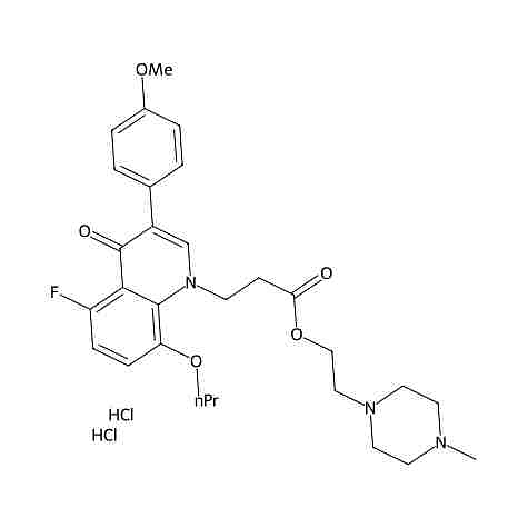 CCCOc1ccc(F)c2c(=O)c(-c3ccc(OC)cc3)cn(CCC(=O)OCCN3CCN(C)CC3)c12.Cl.Cl